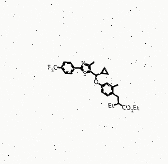 CCOC(=O)C(CC)Cc1ccc(OC(c2sc(-c3ccc(C(F)(F)F)cc3)nc2C)C2CC2)cc1C